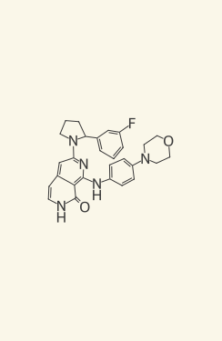 O=c1[nH]ccc2cc(N3CCCC3c3cccc(F)c3)nc(Nc3ccc(N4CCOCC4)cc3)c12